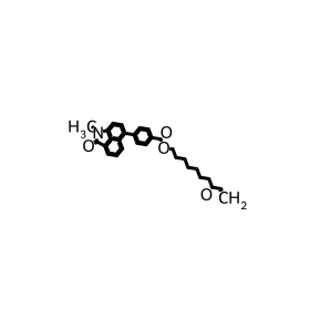 C=CC(=O)CCCCCCCOC(=O)c1ccc(-c2ccc3c4c(cccc24)C(=O)N3C)cc1